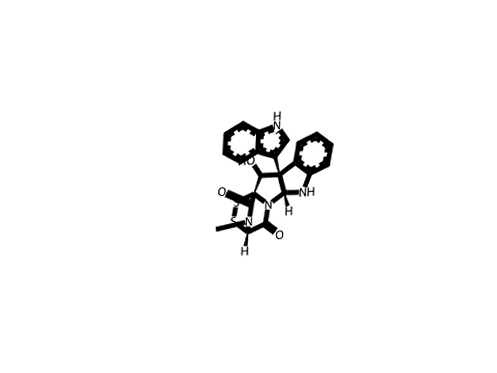 CN1C(=O)[C@]23SS[C@H]1C(=O)N2[C@H]1Nc2ccccc2[C@@]1(c1c[nH]c2ccccc12)C3O